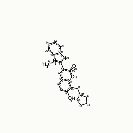 Cn1c(-c2cc3ccc(O)c(CN4CCCC4)c3oc2=O)nc2ccccc21